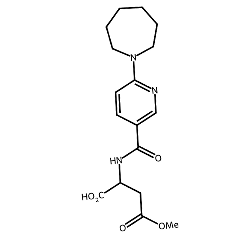 COC(=O)CC(NC(=O)c1ccc(N2CCCCCC2)nc1)C(=O)O